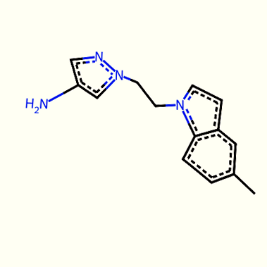 Cc1ccc2c(ccn2CCn2cc(N)cn2)c1